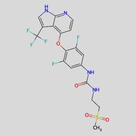 CS(=O)(=O)CCNC(=O)Nc1cc(F)c(Oc2ccnc3[nH]cc(C(F)(F)F)c23)c(F)c1